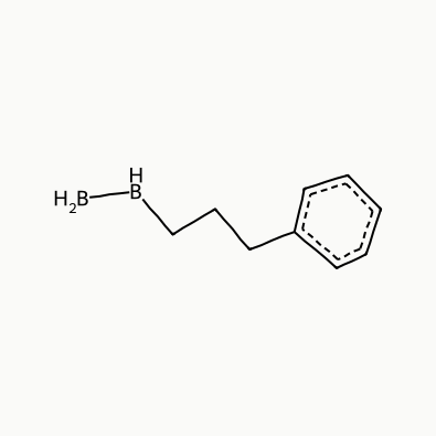 BBCCCc1ccccc1